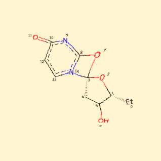 CC[C@H]1O[C@]2(CC1O)Oc1nc(=O)ccn12